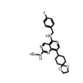 CCCCNc1ncc2c(NCc3ccc(F)cc3)ncc(C3CCC4(CC3)OCCO4)c2n1